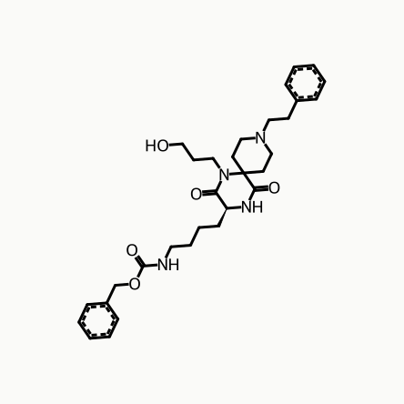 O=C(NCCCC[C@@H]1NC(=O)C2(CCN(CCc3ccccc3)CC2)N(CCCO)C1=O)OCc1ccccc1